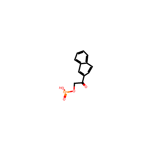 O=C(CO[PH](=O)O)c1ccc2ccccc2c1